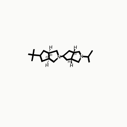 CC(C)N1C[C@H]2CC(N3C[C@H]4CC(C(C)(C)C)C[C@H]4C3)C[C@H]2C1